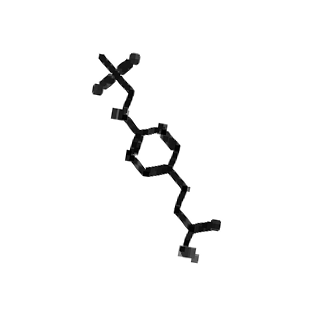 CS(=O)(=O)CNc1ncc([CH]CC(N)=O)cn1